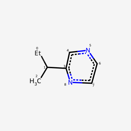 CCC(C)c1cnc[c]n1